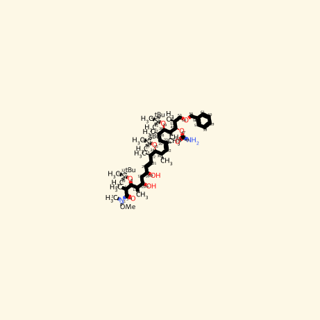 CON(C)C(=O)C(C)C(O[Si](C)(C)C(C)(C)C)C(C)C(O)CC(O)/C=C/[C@H](C)[C@H](O[Si](C)(C)C(C)(C)C)[C@@H](C)/C=C(/C)C[C@H](C)[C@@H](O[Si](C)(C)C(C)(C)C)[C@H](C)[C@@H](OC(N)=O)[C@@H](C)COCc1ccccc1